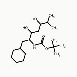 CC(C)C(O)CC(O)[C@H](CC1CCCCC1)NC(=O)OC(C)(C)C